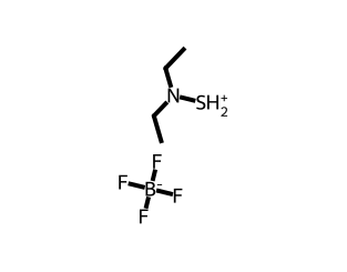 CCN([SH2+])CC.F[B-](F)(F)F